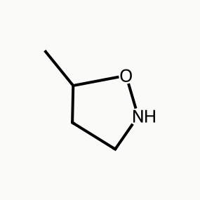 CC1CCNO1